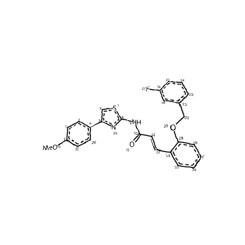 COc1ccc(-c2csc(NC(=O)C=Cc3ccccc3OCc3cccc(F)c3)n2)cc1